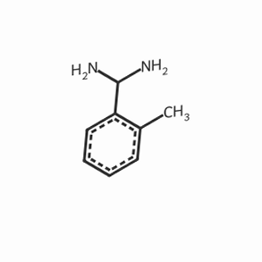 Cc1ccccc1C(N)N